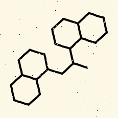 CC(CC1CCCC2CCCCC21)C1CCCC2CCCCC21